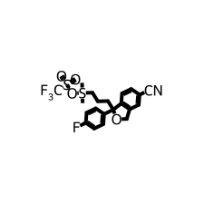 CS(C)(CCCC1(c2ccc(F)cc2)OCc2cc(C#N)ccc21)OS(=O)(=O)C(F)(F)F